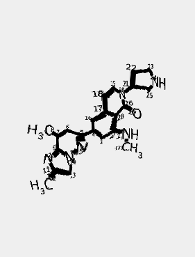 CNc1cc(-c2cc(C)c3nc(C)cn3n2)cc2ccn(C3CCNC3)c(=O)c12